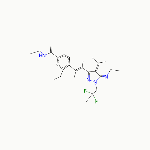 C=C(NCC)c1ccc(/C(C)=C(\C)C2=NN(CC(C)(F)F)/C(=N/CC)C2=C(C)C)c(CC)c1